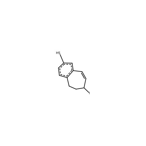 Sc1ccc2c(c1)C=CC(I)CC2